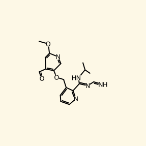 COc1cc(C=O)c(OCc2cccnc2/C(=N/C=N)NC(C)C)cn1